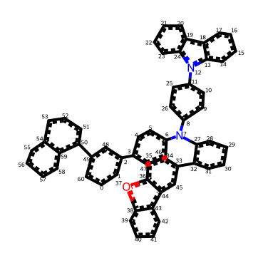 c1cc(-c2ccc(N(c3ccc(-n4c5ccccc5c5ccccc54)cc3)c3ccccc3-c3ccc4oc5ccccc5c4c3)cc2)cc(-c2cccc3ccccc23)c1